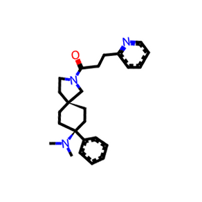 CN(C)[C@]1(c2ccccc2)CC[C@]2(CCN(C(=O)CCc3ccccn3)C2)CC1